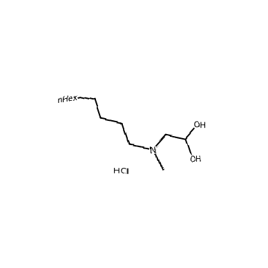 CCCCCCCCCCN(C)CC(O)O.Cl